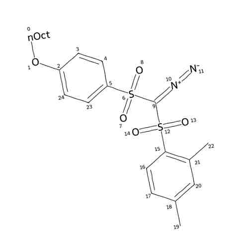 CCCCCCCCOc1ccc(S(=O)(=O)C(=[N+]=[N-])S(=O)(=O)c2ccc(C)cc2C)cc1